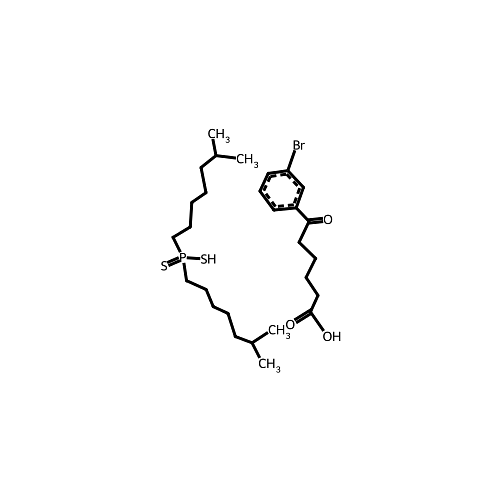 CC(C)CCCCCP(=S)(S)CCCCCC(C)C.O=C(O)CCCCC(=O)c1cccc(Br)c1